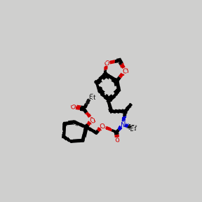 CCC(=O)OC1(COC(=O)N(CC)C(C)Cc2ccc3c(c2)OCO3)CCCCC1